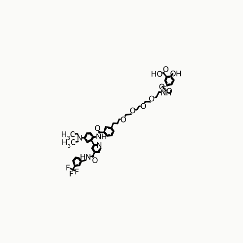 CCN(CC)c1ccc(NC(=O)c2cccc(CCCOCCOCCOCCOCCNS(=O)(=O)c3ccc(O)c(C(=O)O)c3)c2)c(-c2cc(C(=O)NCc3cccc(C(F)(F)F)c3)ccn2)c1